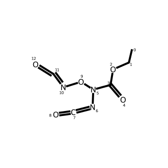 CCOC(=O)N(N=C=O)ON=C=O